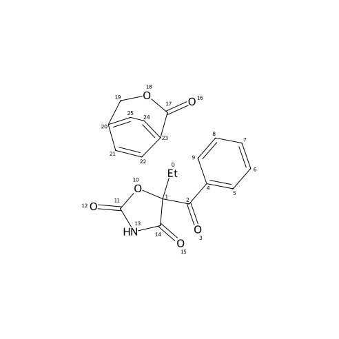 CCC1(C(=O)c2ccccc2)OC(=O)NC1=O.O=C1OCc2ccc1cc2